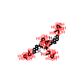 CC(CCCOCC(COCCCC(C)C1CCC2C3CCC4CC(O[C@@H]5OC(CO)[C@@H](O[C@H]6OC(CO)[C@@H](O)C(O)[C@@H]6O)C(O)[C@@H]5O)CCC4(C)C3CCC12C)(CO[C@H]1OC(CO)[C@H](O[C@@H]2OC(CO)[C@H](O)C(O)[C@H]2O)C(O)[C@H]1O)CO[C@@H]1OC(CO)[C@@H](O[C@H]2OC(CO)[C@@H](O)C(O)[C@@H]2O)C(O)[C@@H]1O)C1CCC2C3CCC4CC(O[C@H]5OC(CO)[C@H](O[C@@H]6OC(CO)[C@H](O)C(O)[C@H]6O)C(O)[C@H]5O)CCC4(C)C3CCC12C